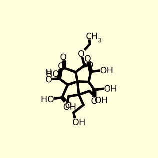 CCOC(=O)C(C(=O)O)C(C(C(=O)O)C(=O)O)(C(C(=O)O)C(=O)O)C(CO)(CO)CCO